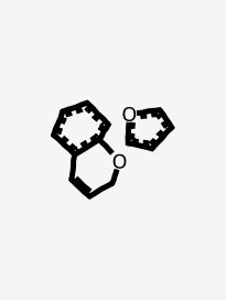 C1=Cc2ccccc2OC1.c1ccoc1